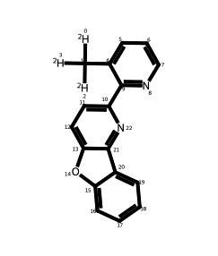 [2H]C([2H])([2H])c1cccnc1-c1ccc2oc3ccccc3c2n1